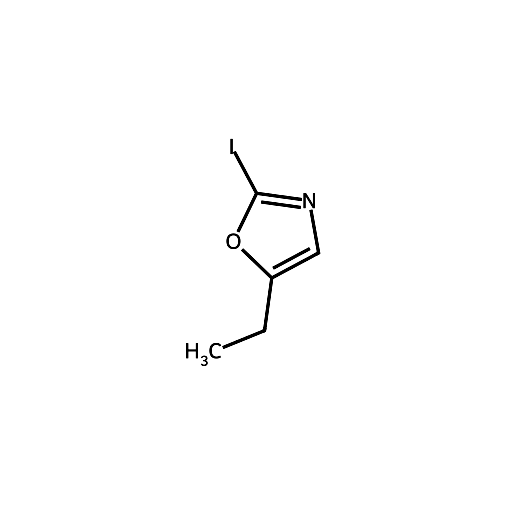 CCc1cnc(I)o1